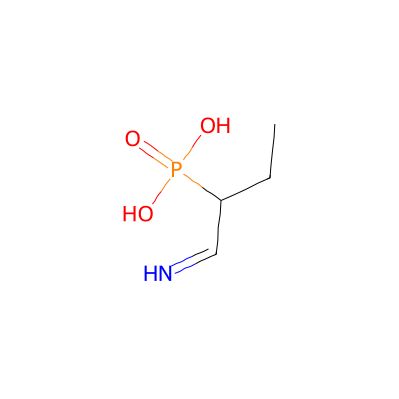 CCC(C=N)P(=O)(O)O